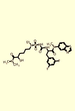 CCN(CCCCC(S)C(=O)N(C)C)S(=O)(=O)NC(=O)NC(Cc1cc(F)cc(F)c1)C(=O)N(C)c1ccc2scnc2c1